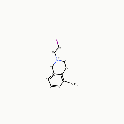 Cc1cccc2c1CCN(CCI)C2